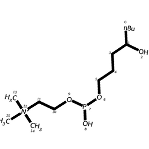 CCCCC(O)CCCOP(O)OCC[N+](C)(C)C